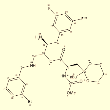 CCCCC1(C[C@@H](NC(=O)OC)C(=O)O[C@H](CNCc2cccc(CC)c2)[C@@H](N)Cc2cc(F)cc(F)c2)OCCCO1